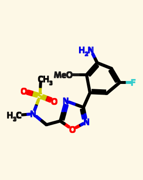 COc1c(N)cc(F)cc1-c1noc(CN(C)S(C)(=O)=O)n1